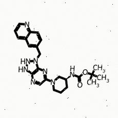 CC(C)(C)OC(=O)N[C@H]1CCCN(c2cnc3c(n2)N(Cc2ccc4ncccc4c2)NN3)C1